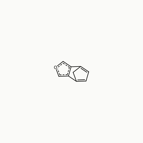 C1=C2CC(=C1)c1cocc12